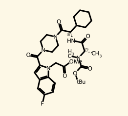 COC(=O)Cn1c(C(=O)N2CCN(C(=O)[C@@H](NC(=O)[C@H](C)N(C)C(=O)OC(C)(C)C)C3CCCCC3)CC2)cc2cc(F)ccc21